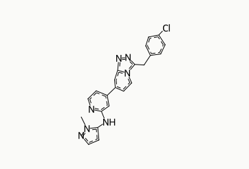 Cn1nccc1Nc1cc(-c2ccn3c(Cc4ccc(Cl)cc4)nnc3c2)ccn1